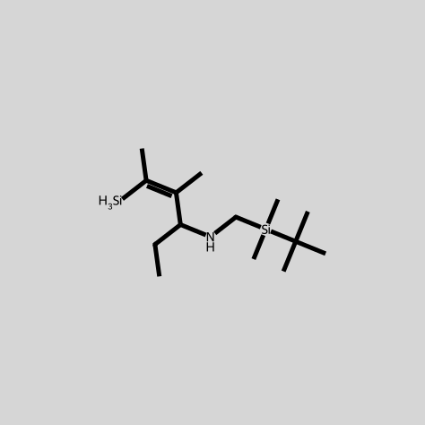 CCC(NC[Si](C)(C)C(C)(C)C)C(C)=C(C)[SiH3]